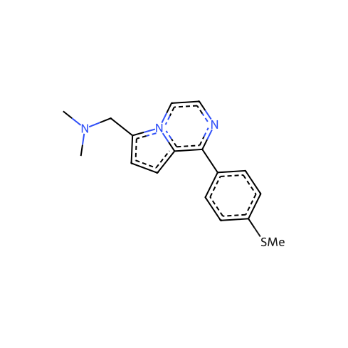 CSc1ccc(-c2nccn3c(CN(C)C)ccc23)cc1